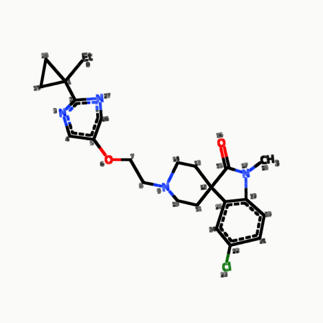 CCC1(c2ncc(OCCN3CCC4(CC3)C(=O)N(C)c3ccc(Cl)cc34)cn2)CC1